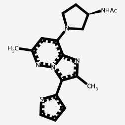 CC(=O)N[C@@H]1CCN(c2cc(C)nn3c(-c4cccs4)c(C)nc23)C1